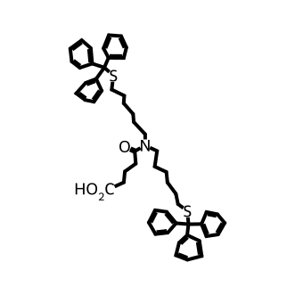 O=C(O)CCCC(=O)N(CCCCCCSC(c1ccccc1)(c1ccccc1)c1ccccc1)CCCCCCSC(c1ccccc1)(c1ccccc1)c1ccccc1